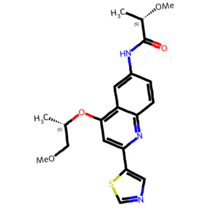 COC[C@H](C)Oc1cc(-c2cncs2)nc2ccc(NC(=O)[C@H](C)OC)cc12